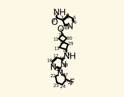 NC(=O)c1cccnc1OC1CC2(CC(Nc3ccnc(N4CCCC(F)C4)n3)C2)C1